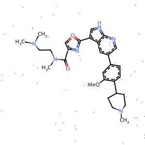 COc1cc(-c2cnc3[nH]cc(-c4nc(C(=O)N(C)CCN(C)C)co4)c3c2)ccc1C1CCN(C)CC1